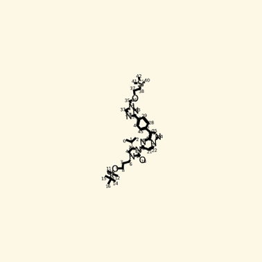 CC(C)[C@H]1CN(CCCO[Si](C)(C)C(C)(C)C)C(=O)N1c1ccn2ncc(-c3ccc(-c4ncn(COCC[Si](C)(C)C)n4)cc3)c2n1